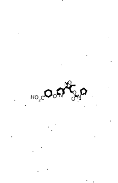 Cc1onc(-c2ccc(O[C@H]3CCC[C@H](C(=O)O)C3)nc2)c1COC(=O)N(C)C1CCCC1